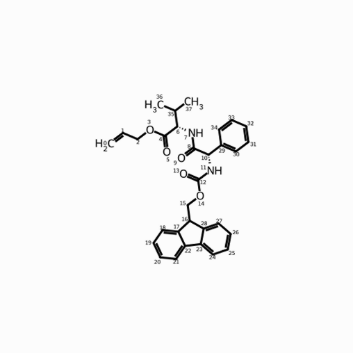 C=CCOC(=O)[C@@H](NC(=O)[C@@H](NC(=O)OCC1c2ccccc2-c2ccccc21)c1ccccc1)C(C)C